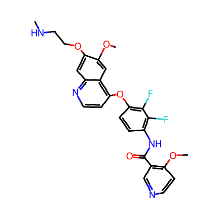 CNCCOc1cc2nccc(Oc3ccc(NC(=O)c4cnccc4OC)c(F)c3F)c2cc1OC